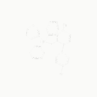 Brc1ccc(-c2ccc(Br)cc2C[PH](c2ccccc2)(c2ccccc2)c2ccccc2)cc1